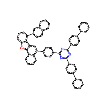 c1ccc(-c2ccc(-c3nc(-c4ccc(-c5ccccc5)cc4)nc(-c4ccc(-c5cc6c(oc7cccc(-c8ccc9ccccc9c8)c76)c6ccccc56)cc4)n3)cc2)cc1